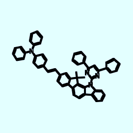 CC1(C)c2cc(/C=C/c3ccc(N(c4ccccc4)c4ccccc4)cc3)ccc2-c2ccc3c4ccccc4n(-c4nc(-c5ccccc5)cc(-c5ccccc5)n4)c3c21